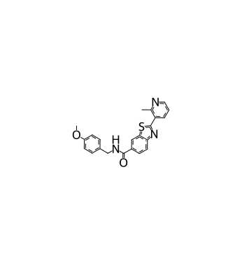 COc1ccc(CNC(=O)c2ccc3nc(-c4cccnc4C)sc3c2)cc1